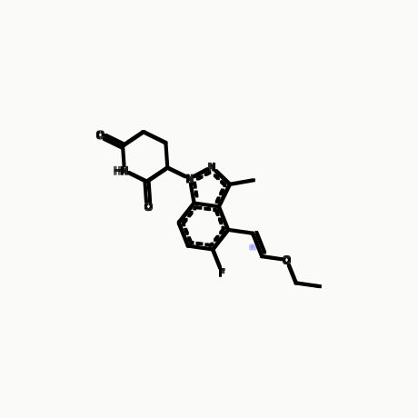 CCO/C=C/c1c(F)ccc2c1c(C)nn2C1CCC(=O)NC1=O